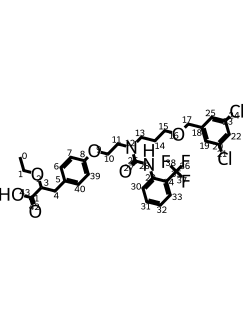 CCOC(Cc1ccc(OCCN(CCCOCc2cc(Cl)cc(Cl)c2)C(=O)Nc2ccccc2C(F)(F)F)cc1)C(=O)O